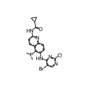 CP(C)c1c(Nc2nc(Cl)ncc2Br)ccc2nc(NC(=O)C3CC3)ccc12